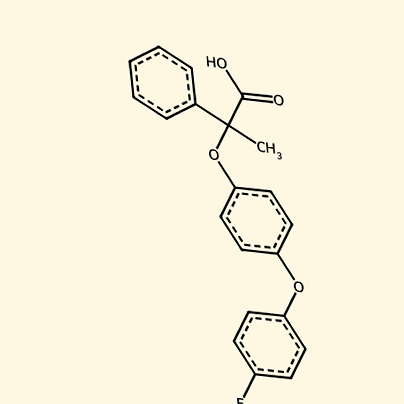 CC(Oc1ccc(Oc2ccc(F)cc2)cc1)(C(=O)O)c1ccccc1